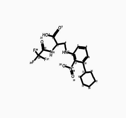 O=C(O)C(CNc1cccc(C2CCCCC2)c1[N+](=O)[O-])NC(=O)C(F)(F)F